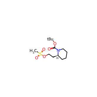 CC(C)(C)OC(=O)N1CCCC[C@H]1CCOS(C)(=O)=O